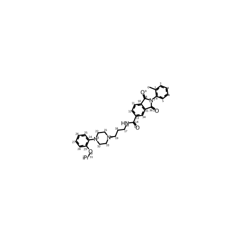 Cc1ccccc1N1C(=O)c2ccc(C(=O)NCCCN3CCN(c4ccccc4OC(C)C)CC3)cc2C1=O